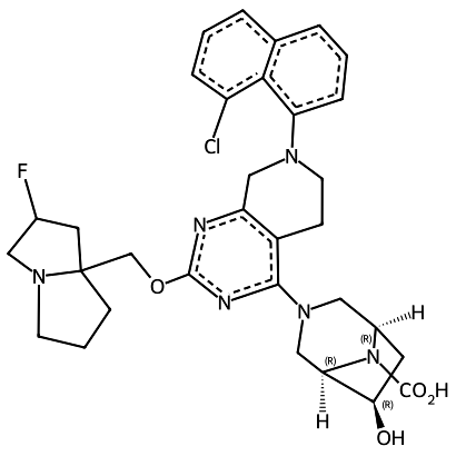 O=C(O)N1[C@@H]2C[C@@H](O)[C@H]1CN(c1nc(OCC34CCCN3CC(F)C4)nc3c1CCN(c1cccc4cccc(Cl)c14)C3)C2